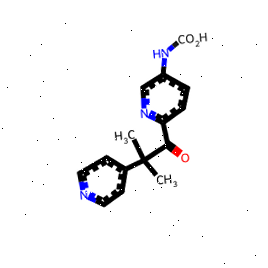 CC(C)(C(=O)c1ccc(NC(=O)O)cn1)c1ccncc1